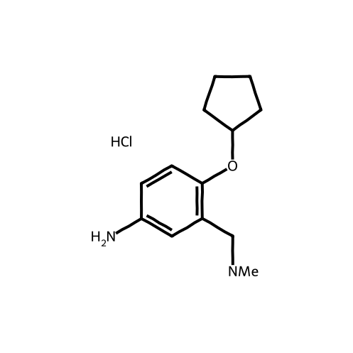 CNCc1cc(N)ccc1OC1CCCC1.Cl